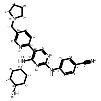 N#Cc1ccc(Nc2ncc(-c3ccc(CN4CCCC4)cn3)c(N[C@H]3CC[C@H](O)CC3)n2)cc1